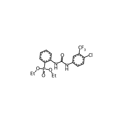 CCOP(=O)(OCC)c1ccccc1NC(=O)Nc1ccc(Cl)c(C(F)(F)F)c1